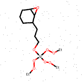 CCOO[Si](OCCCC1CCCC2OC12)(OOCC)OOCC